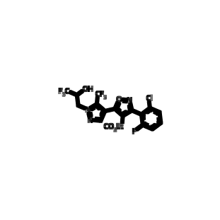 CCOC(=O)c1c(-c2c(F)cccc2Cl)noc1-c1cnn(CC(O)C(F)(F)F)c1C(F)(F)F